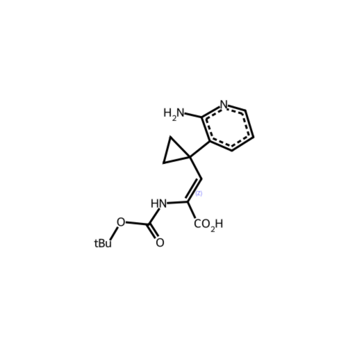 CC(C)(C)OC(=O)N/C(=C\C1(c2cccnc2N)CC1)C(=O)O